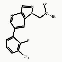 CC[S@@+]([O-])Cn1ncc2ncc(-c3cccc(C(F)(F)F)c3F)cc21